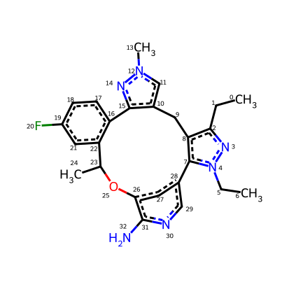 CCc1nn(CC)c2c1Cc1cn(C)nc1-c1ccc(F)cc1C(C)Oc1cc-2cnc1N